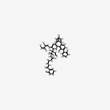 CC=CC(C)(C1CC2=C(C=C1C/C=C(C)\C(C)=C/C)c1cc(C)cc(c1C)-c1ccc(-c3ccccc3C)c(C)c12)C(C)(C)C\C(C)=C/C=C\C=C(/C)c1ccccc1C